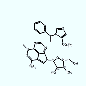 CCOC(=O)c1cncn1C(C)c1ccccc1.CN1N=C(N)c2cn([C@@H]3O[C@H](CO)[C@@H](O)[C@H]3O)c3ncnc1c23